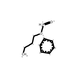 CCCCO[PH2]=O.c1ccccc1